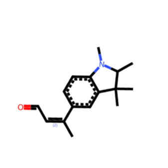 C/C(=C/C=O)c1ccc2c(c1)C(C)(C)C(C)N2C